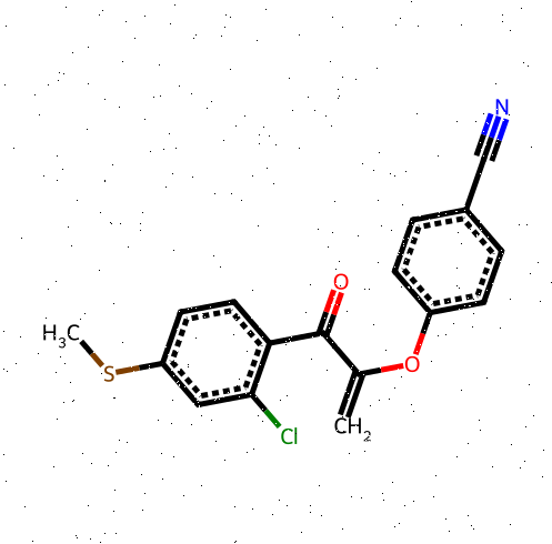 C=C(Oc1ccc(C#N)cc1)C(=O)c1ccc(SC)cc1Cl